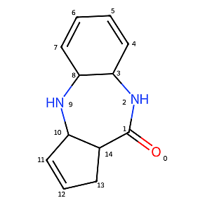 O=C1NC2C=CC=CC2NC2C=CCC12